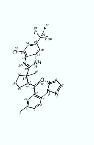 Cc1ccc(-n2nccn2)c(C(=O)N2CCCC2(C)c2nc3c(Cl)cc(C(F)(F)F)cc3[nH]2)c1